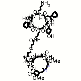 COc1cc2cc(c1Cl)N(C)C(=O)C[C@H](OC(=O)[C@H](C)N(C)C(=O)CCSSCCC(=O)NCCCC[C@H]1C(=O)N[C@@H](Cc3ccc(O)cc3)C(=O)N[C@H](Cc3c[nH]c4ccccc34)C(=O)N[C@@H](CCCCN)C(=O)N[C@@H]([C@@H](C)O)C(=O)N[C@@H](Cc3ccccc3)C(=O)N1C)[C@]1(C)O[C@H]1[C@H](C)[C@@H]1C[C@@](O)(NC(=O)O1)[C@H](OC)/C=C/C=C(\C)C2